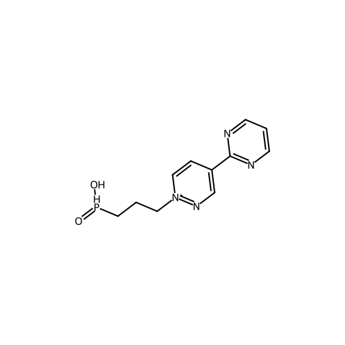 O=[PH](O)CCC[n+]1ccc(-c2ncccn2)cn1